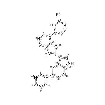 Fc1cccc(-c2cncc3[nH]c(-c4n[nH]c5ncc(-c6cncnc6)cc45)nc23)c1